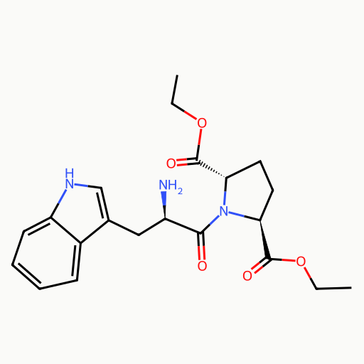 CCOC(=O)[C@@H]1CC[C@@H](C(=O)OCC)N1C(=O)[C@H](N)Cc1c[nH]c2ccccc12